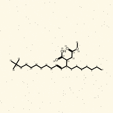 CCCCCCCC(/C=C/CCCCCCCC(C)(C)C)C(CC(=O)OC)C(=O)O